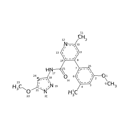 COc1cc(C)cc(-c2cc(C)ncc2C(=O)Nc2nnc(OC)s2)c1